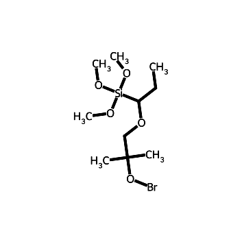 CCC(OCC(C)(C)OBr)[Si](OC)(OC)OC